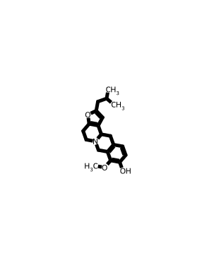 COc1c(O)ccc2c1CN1CCc3oc(CC(C)C)cc3C1C2